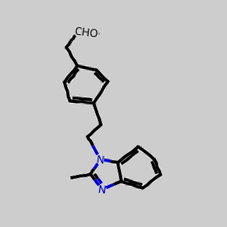 Cc1nc2ccccc2n1CCc1ccc(C[C]=O)cc1